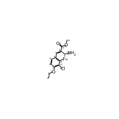 CCOc1ccc(/C=C(\CN)C(=O)OC)c(F)c1Cl